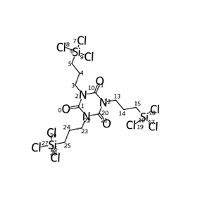 O=c1n(CCC[Si](Cl)(Cl)Cl)c(=O)n(CCC[Si](Cl)(Cl)Cl)c(=O)n1CCC[Si](Cl)(Cl)Cl